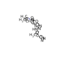 Cc1cc(Nc2ncnc3cc4c(nc23)N2CCN(C(=O)/C=C/[C@@H](C)N(C)C)[C@@H](CO4)C2)ccc1Oc1ccn2ncnc2c1